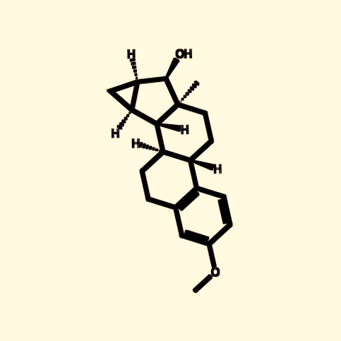 COc1ccc2c(c1)CC[C@H]1[C@@H]3[C@H]4C[C@H]4[C@@H](O)[C@@]3(C)CC[C@H]21